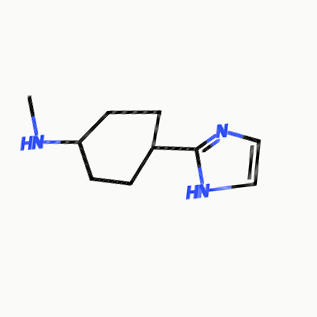 CNC1CCC(c2ncc[nH]2)CC1